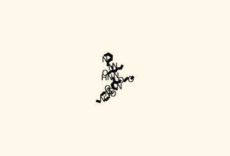 CCc1nn(Cc2ccccn2)c2c(=O)[nH]c(-c3cc(S(=O)(=O)N4CCN(CC)CC4)cnc3OCCOC)nc12